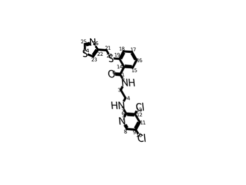 O=C(NCCNc1ncc(Cl)cc1Cl)c1ccccc1SCc1cscn1